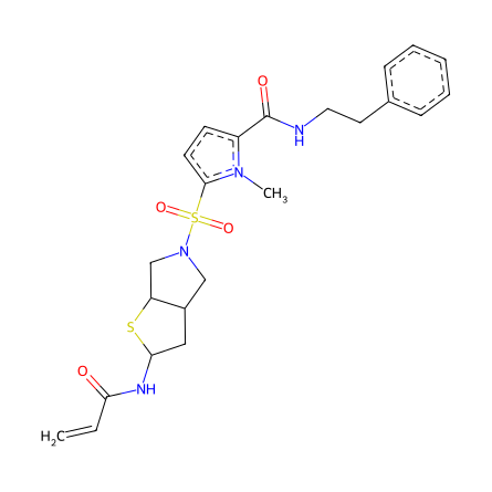 C=CC(=O)NC1CC2CN(S(=O)(=O)c3ccc(C(=O)NCCc4ccccc4)n3C)CC2S1